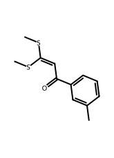 CSC(=CC(=O)c1cccc(C)c1)SC